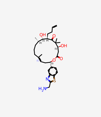 C=CCC[C@H]1C(=O)C(C)(C)[C@@H](O)CC(=O)O[C@H](c2ccc3sc(CN)nc3c2)C/C=C(\C)CCC[C@H](C)[C@@H]1O